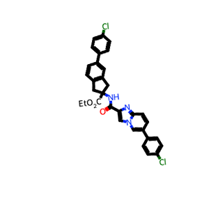 CCOC(=O)C1(NC(=O)c2cn3cc(-c4ccc(Cl)cc4)ccc3n2)Cc2ccc(-c3ccc(Cl)cc3)cc2C1